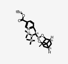 CC(C)(C)OC(=O)c1ccc(C[C@@H](B2OC3[C@@H]4C[C@H](C[C@]3(C)O2)C4(C)C)N([Si](C)(C)C)[Si](C)(C)C)nc1